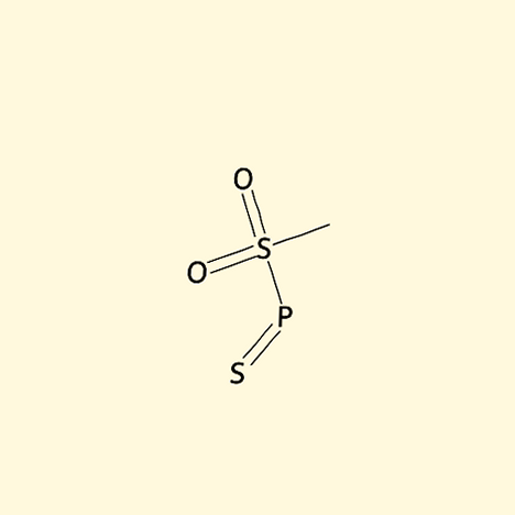 CS(=O)(=O)P=S